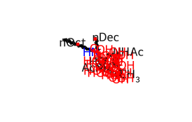 CCCCCCCC/C=C\CCCCCCCCCCCCCC(=O)N[C@@H](CO[C@@H]1OC(CO)[C@@H](O[C@@H]2OC(CO)[C@H](O)[C@H](O[C@@H]3OC(CO)[C@@H](O[C@H]4OC(C)[C@@H](O)C(O)[C@@H]4O)[C@H](O[C@@H]4OC(CO)[C@H](O)[C@H](O[C@]5(C(=O)O)CC(O)[C@@H](NC(C)=O)C([C@H](O)[C@H](O)CO)O5)C4O)C3NC(C)=O)C2O)[C@H](O)C1O)[C@H](O)/C=C/CCCCCCCCCCCCC